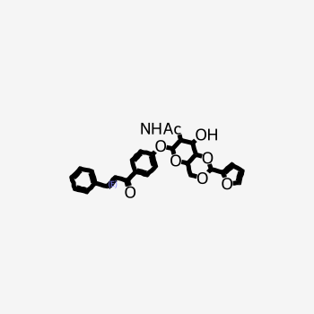 CC(=O)NC1C(Oc2ccc(C(=O)/C=C/c3ccccc3)cc2)OC2COC(c3ccco3)OC2C1O